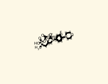 CCCCCCCC(=O)OP(=O)(O)N(C)CC1CN(c2ccc(N3CCOCC3)c(F)c2)C(=O)O1